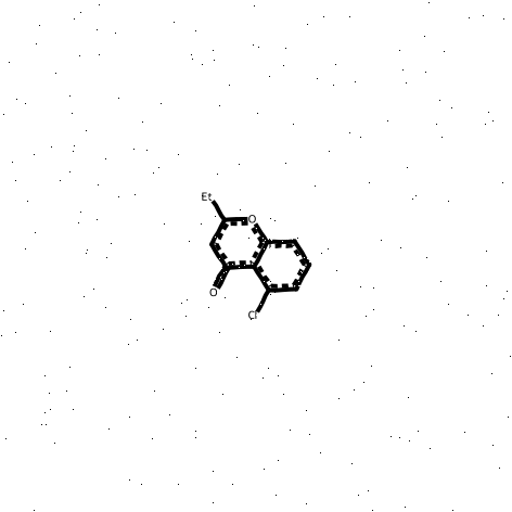 CCc1cc(=O)c2c(Cl)cccc2o1